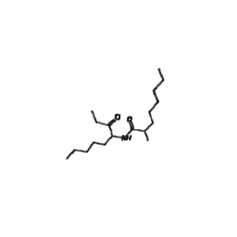 CCCCCCC(C)C(=O)NC(CCCCC)C(=O)CC